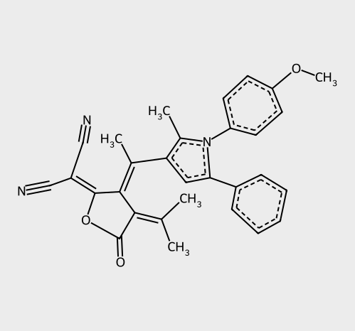 COc1ccc(-n2c(-c3ccccc3)cc(/C(C)=C3/C(=C(C#N)C#N)OC(=O)C3=C(C)C)c2C)cc1